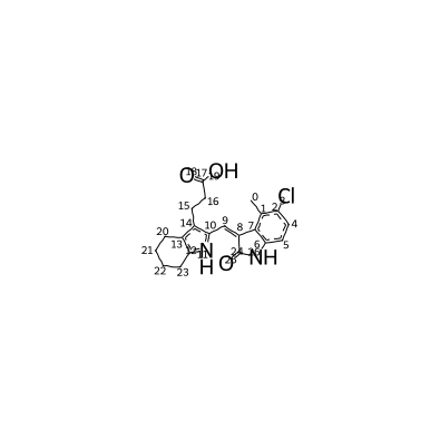 Cc1c(Cl)ccc2c1/C(=C/c1[nH]c3c(c1CCC(=O)O)CCCC3)C(=O)N2